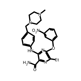 CCc1nc(C(N)=O)c(Nc2ccc(CN3CCN(C)CC3)cc2)nc1Oc1cccc([N+](=O)[O-])c1